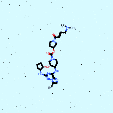 CC(C)c1cnc2c(NC3CCN(C(=O)O[C@H]4CCN(C(=O)/C=C/CN(C)C)C4)CC3)nc(N[C@H]3CCC[C@H]3O)nn12